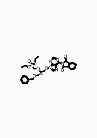 CCOP(=O)(CO[C@@H](COCc1ccccc1)COn1cnc2c(N3C(=O)c4ccccc4C3=O)ncnc21)OCC